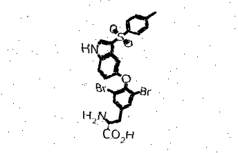 Cc1ccc(S(=O)(=O)c2c[nH]c3ccc(Oc4c(Br)cc(C[C@@H](N)C(=O)O)cc4Br)cc23)cc1